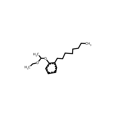 CCCCCCCCc1ccccc1OC(C)OCC